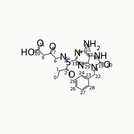 CCC(=O)/S(=N\CC(=O)CC(=O)O)c1nc(N)c2[nH]c(=O)n(Cc3ccccc3)c2n1